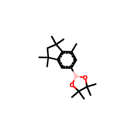 Cc1cc(B2OC(C)(C)C(C)(C)O2)cc2c1C(C)(C)CC2(C)C